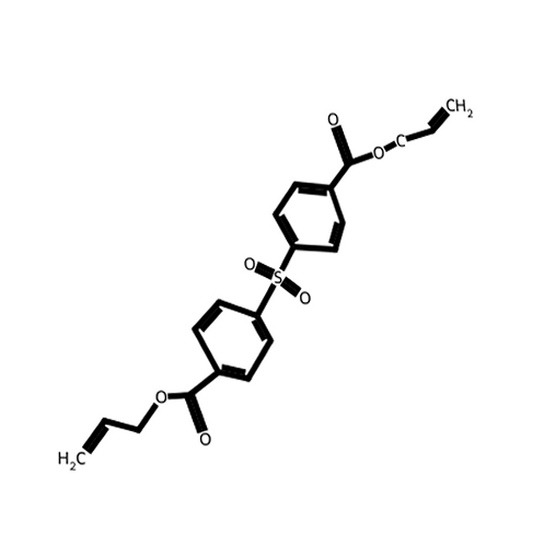 C=CCOC(=O)c1ccc(S(=O)(=O)c2ccc(C(=O)OCC=C)cc2)cc1